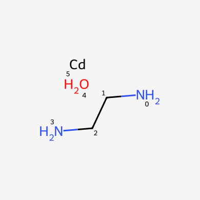 NCCN.O.[Cd]